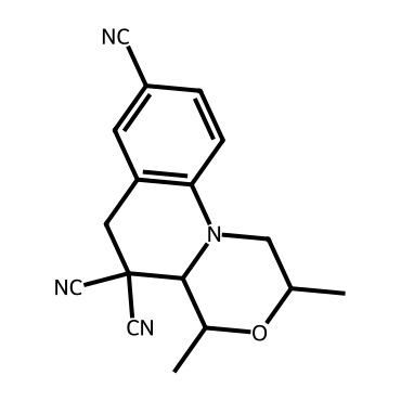 CC1CN2c3ccc(C#N)cc3CC(C#N)(C#N)C2C(C)O1